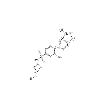 Cc1cc(S(=O)(=O)N[C@H]2C[C@@H](CO)C2)ccc1-c1ccc2[nH]nc(N)c2n1